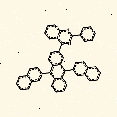 c1ccc(-c2nc(-c3ccc4c(-c5ccc6ccccc6c5)c5ccccc5c(-c5ccc6ccccc6c5)c4c3)c3ccccc3n2)cc1